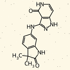 CC1(C)C(=O)Nc2cc(Nc3n[nH]c4cc[nH]c(=O)c34)ccc21